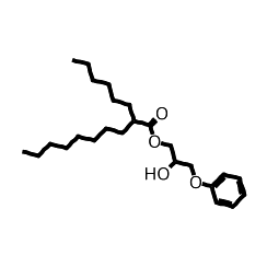 CCCCCCCCC(CCCCCC)C(=O)OCC(O)COc1ccccc1